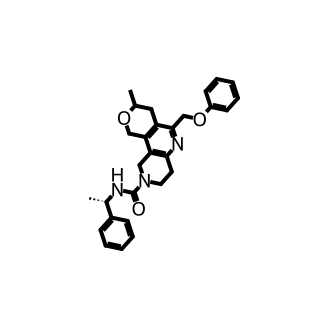 CC1Cc2c(COc3ccccc3)nc3c(c2CO1)CN(C(=O)N[C@@H](C)c1ccccc1)CC3